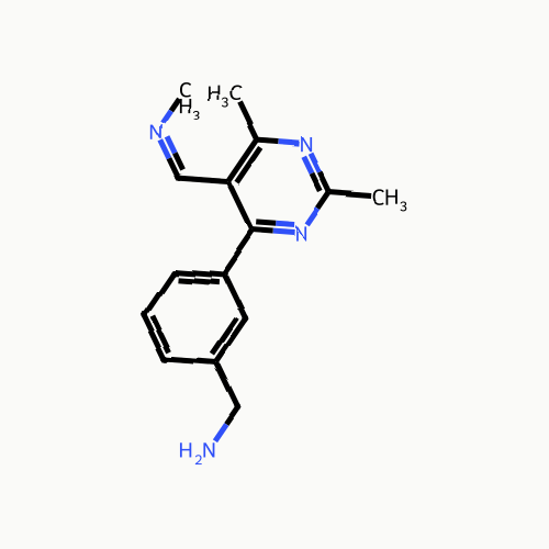 C/N=C\c1c(C)nc(C)nc1-c1cccc(CN)c1